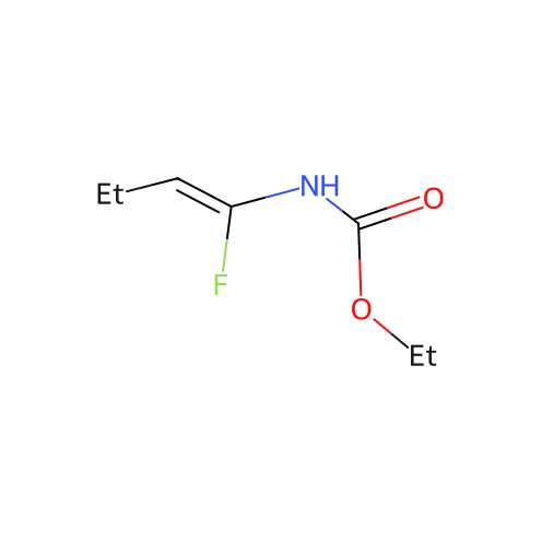 CCC=C(F)NC(=O)OCC